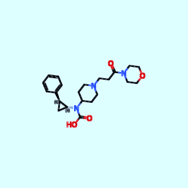 O=C(CCN1CCC(N(C(=O)O)[C@@H]2C[C@H]2c2ccccc2)CC1)N1CCOCC1